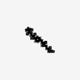 CNC(=O)CCNC(=O)CCc1ccc(NC(=O)COC(=O)C2(C(C)=O)SS2)cc1